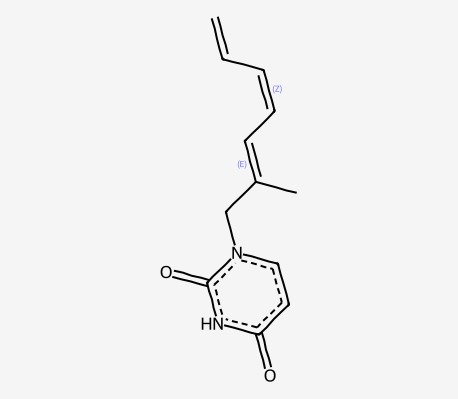 C=C/C=C\C=C(/C)Cn1ccc(=O)[nH]c1=O